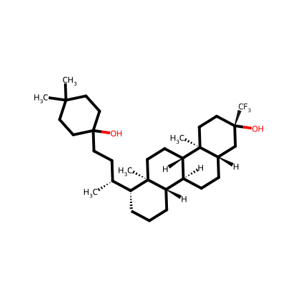 C[C@H](CCC1(O)CCC(C)(C)CC1)[C@H]1CCC[C@H]2[C@@H]3CC[C@H]4C[C@](O)(C(F)(F)F)CC[C@]4(C)[C@H]3CC[C@]12C